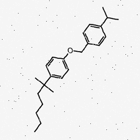 CCCCCC(C)(C)c1ccc(OCc2ccc(C(C)C)cc2)cc1